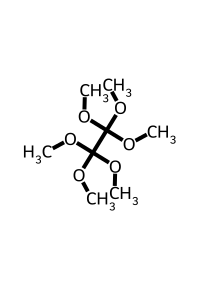 COC(OC)(OC)C(OC)(OC)OC